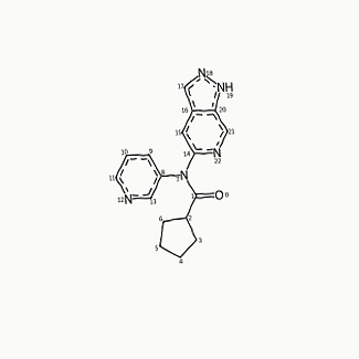 O=C(C1CCCC1)N(c1cccnc1)c1cc2cn[nH]c2cn1